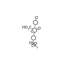 CS(=O)(=O)c1ccc(-c2cc(=O)c(-c3ccc(Cl)cc3)c(C(=O)O)o2)cc1